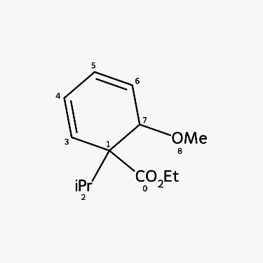 CCOC(=O)C1(C(C)C)C=CC=CC1OC